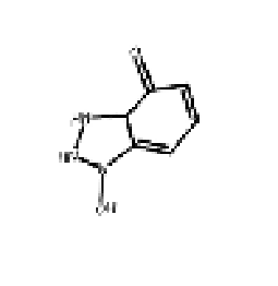 O=C1C=CC=C2C1NNN2O